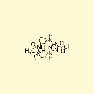 CC(=O)Nc1cccc(Nc2nc(NCCC3CCCN3C)nc(C(Cl)(Cl)Cl)n2)c1